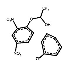 CC(O)Oc1ccc([N+](=O)[O-])cc1[N+](=O)[O-].Clc1ccccc1